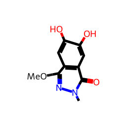 COc1nn(C)c(=O)c2cc(O)c(O)cc12